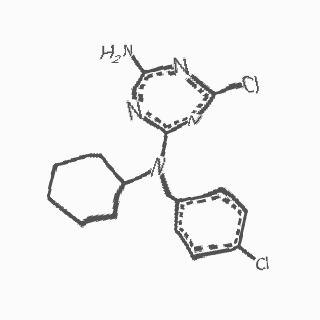 Nc1nc(Cl)nc(N(c2ccc(Cl)cc2)C2CCCCC2)n1